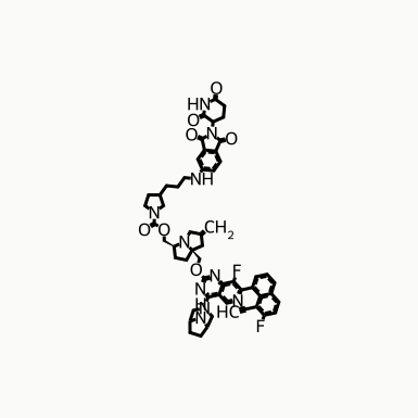 C#Cc1c(F)ccc2cccc(-c3ncc4c(N5CC6CCC(C5)N6)nc(OC[C@@]56CC[C@@H](COC(=O)N7CCC(CCCNc8ccc9c(c8)C(=O)N(C8CCC(=O)NC8=O)C9=O)C7)N5CC(=C)C6)nc4c3F)c12